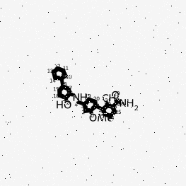 COc1cc(CNc2cc(-c3ccccc3)ccc2O)ccc1-c1cccc(C(N)=O)c1C